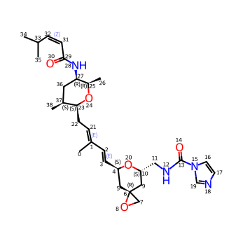 CC(/C=C/[C@@H]1C[C@]2(CO2)C[C@@H](CNC(=O)n2ccnc2)O1)=C\C[C@@H]1O[C@H](C)[C@H](NC(=O)/C=C\C(C)C)C[C@@H]1C